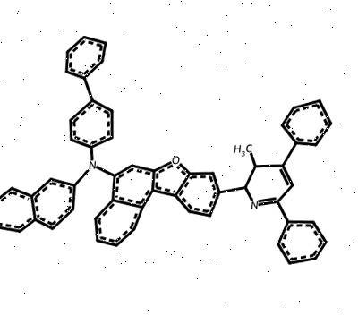 CC1C(c2ccccc2)=CC(c2ccccc2)=NC1c1ccc2c(c1)oc1cc(N(c3ccc(-c4ccccc4)cc3)c3ccc4ccccc4c3)c3ccccc3c12